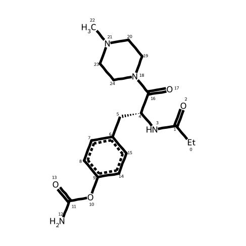 CCC(=O)N[C@H](Cc1ccc(OC(N)=O)cc1)C(=O)N1CCN(C)CC1